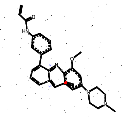 C=CC(=O)Nc1cccc(C2=CC=CC(=C/N=C)/C2=N\c2ccc(N3CCN(C)CC3)cc2OC)c1